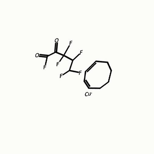 C1=CCCCCC=C1.O=C(F)C(=O)C(F)(F)C(F)C(F)F.[Cu]